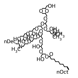 CCCCCCCC/C=C\CCCCCCCC(=O)OCC(CO)OCC(O)COCC(COCC(COCC(O)COCC(O)CO)OC(COCC(O)C[N+](C)(C)C)COCC1COCC(CO)O1)OCC(O)COCC(O)CN(C)CCCCCCCCCCCC